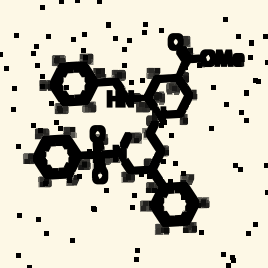 COC(=O)[C@H]1CCN(CCC(CN(C)S(=O)(=O)c2ccccc2)c2ccccc2)[C@@H](NCc2ccccc2)C1